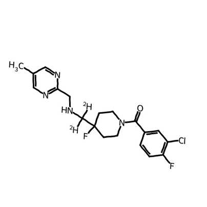 [2H]C([2H])(NCc1ncc(C)cn1)C1(F)CCN(C(=O)c2ccc(F)c(Cl)c2)CC1